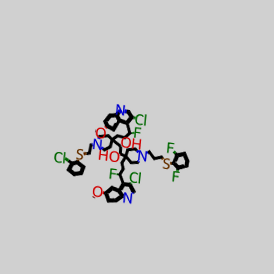 COc1ccc2ncc(Cl)c([C@@H](F)CCC3(C(O)C(O)C4(CC[C@H](F)c5c(Cl)cnc6ccc(OC)cc56)CCN(CCSc5ccccc5Cl)CC4)CCN(CCCSc4c(F)cccc4F)CC3)c2c1